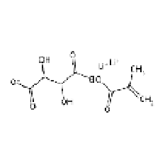 C=C(C)C(=O)O.O=C([O-])C(O)C(O)C(=O)[O-].[Li+].[Li+]